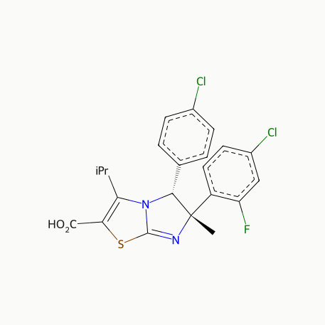 CC(C)C1=C(C(=O)O)SC2=N[C@@](C)(c3ccc(Cl)cc3F)[C@@H](c3ccc(Cl)cc3)N21